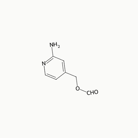 Nc1cc(COC=O)ccn1